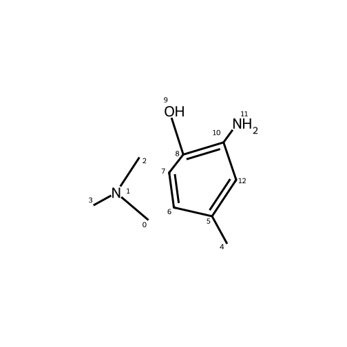 CN(C)C.Cc1ccc(O)c(N)c1